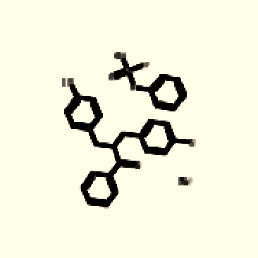 O=C(c1ccccc1)C(Cc1ccc(O)cc1)Cc1ccc(Cl)cc1.O=P([O-])(O)Oc1ccccc1.[Na+]